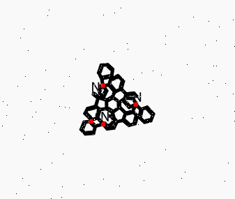 c1ccc(-c2ccc(-c3cccc4c3-c3c(c5c(c6c3CCCc3cccc(-c7ccc(-c8ccccc8)nc7)c3-6)CCCc3cccc(-c6ccc(-c7ccccc7)nc6)c3-5)CCC4)cn2)cc1